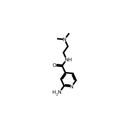 CN(C)CCNC(=O)c1ccnc(N)c1